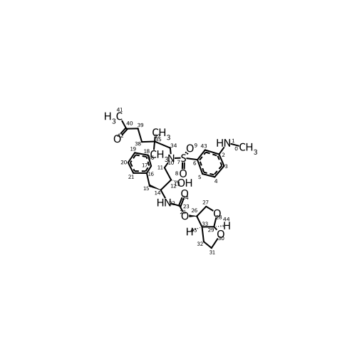 CNc1cccc(S(=O)(=O)N(C[C@H](O)[C@H](Cc2ccccc2)NC(=O)O[C@H]2CO[C@H]3OCC[C@H]32)CC(C)(C)CCC(C)=O)c1